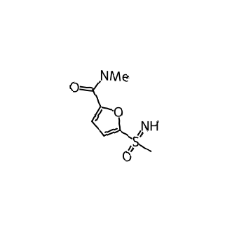 CNC(=O)c1ccc(S(C)(=N)=O)o1